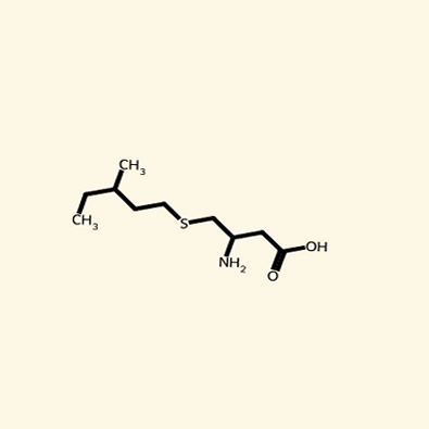 CCC(C)CCSCC(N)CC(=O)O